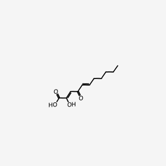 CCCCCC=CC(=O)C=C(O)C(=O)O